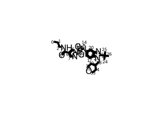 CCCNC(=O)c1cnn(S(=O)(=O)N(C)c2ccc3c(c2)nc(C(C)(C)C)n3CC2CCOCC2)c1